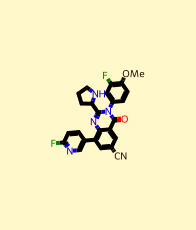 COc1ccc(-n2c(C3CCCN3)nc3c(-c4ccc(F)nc4)cc(C#N)cc3c2=O)cc1F